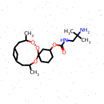 CC1CC2CC(C2)CC(C)OC2(CCCC(OC(=O)NCC(C)(C)N)C2)OO1